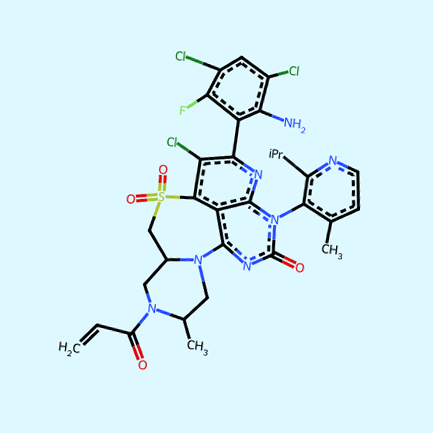 C=CC(=O)N1CC2CS(=O)(=O)c3c(Cl)c(-c4c(N)c(Cl)cc(Cl)c4F)nc4c3c(nc(=O)n4-c3c(C)ccnc3C(C)C)N2CC1C